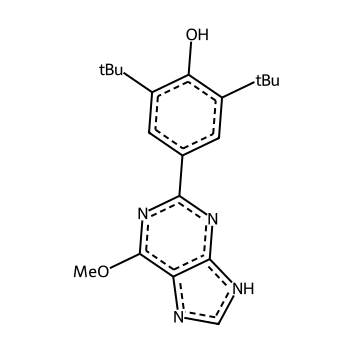 COc1nc(-c2cc(C(C)(C)C)c(O)c(C(C)(C)C)c2)nc2[nH]cnc12